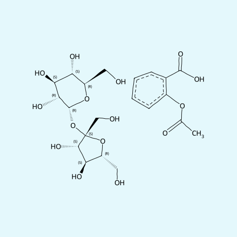 CC(=O)Oc1ccccc1C(=O)O.OC[C@H]1O[C@@](CO)(O[C@H]2O[C@H](CO)[C@@H](O)[C@H](O)[C@H]2O)[C@@H](O)[C@@H]1O